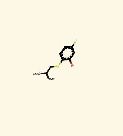 COC(CSc1ccc(F)cc1Br)OC